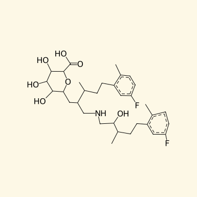 Cc1ccc(F)cc1CCC(C)C(O)CNCC(CC1OC(C(=O)O)C(O)C(O)C1O)C(C)CCc1cc(F)ccc1C